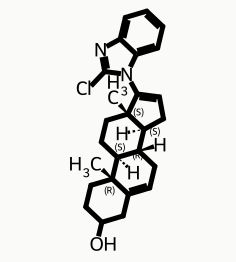 C[C@]12CCC(O)CC1=CC[C@@H]1[C@@H]2CC[C@]2(C)C(n3c(Cl)nc4ccccc43)=CC[C@@H]12